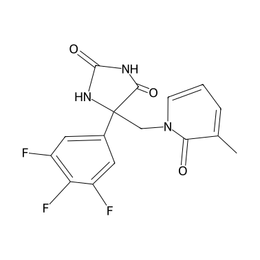 Cc1cccn(CC2(c3cc(F)c(F)c(F)c3)NC(=O)NC2=O)c1=O